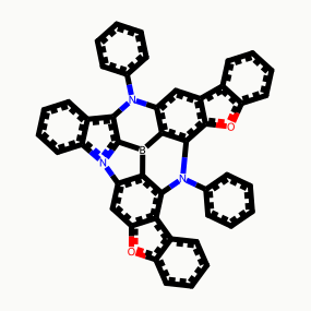 c1ccc(N2c3cc4c(oc5ccccc54)c4c3B3c5c(cc6oc7ccccc7c6c5N4c4ccccc4)-n4c3c2c2ccccc24)cc1